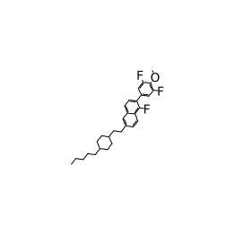 CCCCCC1CCC(CCc2ccc3c(F)c(-c4cc(F)c(OC)c(F)c4)ccc3c2)CC1